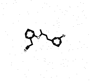 CC(CCc1cccc(Br)c1)Oc1ccccc1CC#N